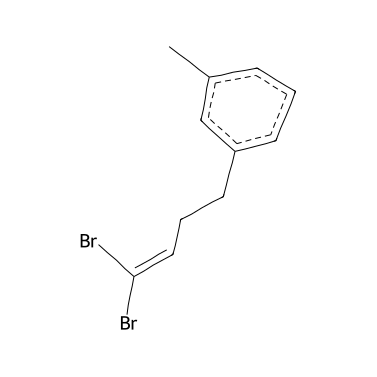 Cc1cccc(CCC=C(Br)Br)c1